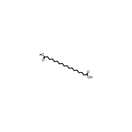 COC(=O)CCCCCCCCCCCCCCCCC(=O)O